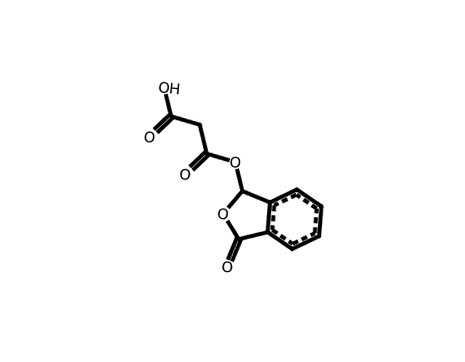 O=C(O)CC(=O)OC1OC(=O)c2ccccc21